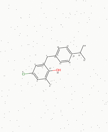 Cc1cc(Cl)cc(Cc2ccc(C(C)C)cc2)c1O